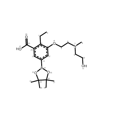 CCc1c(OCCN(C)CCO)cc(B2OC(C)(C)C(C)(C)O2)cc1C(=O)O